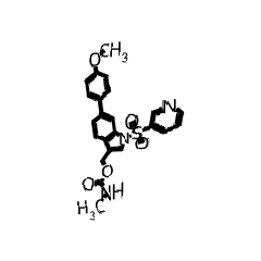 CNC(=O)OCc1cn(S(=O)(=O)c2cccnc2)c2cc(-c3ccc(OC)cc3)ccc12